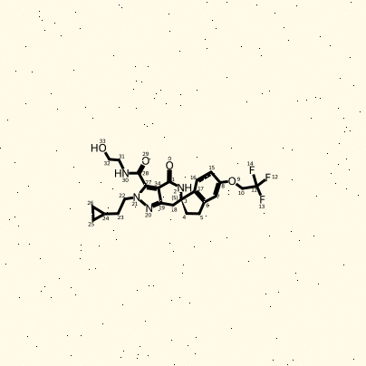 O=C1N[C@@]2(CCc3cc(OCC(F)(F)F)ccc32)Cc2nn(CCC3CC3)c(C(=O)NCCO)c21